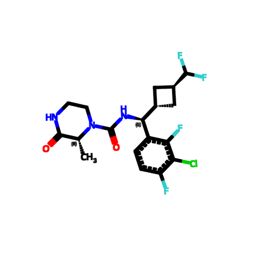 C[C@@H]1C(=O)NCCN1C(=O)N[C@H](c1ccc(F)c(Cl)c1F)[C@H]1C[C@H](C(F)F)C1